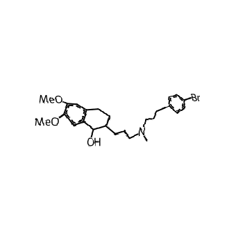 COc1cc2c(cc1OC)C(O)C(CCCN(C)CCCc1ccc(Br)cc1)CC2